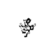 C=CCOC(Cn1ccnc1)c1ccc(Cl)cc1Cl.COC(=O)Nc1nc2ccccc2[nH]1